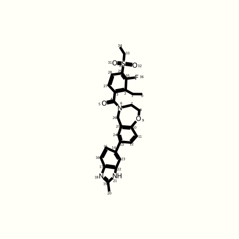 CCc1c(C(=O)N2CCOc3ccc(-c4ccc5nc(C)[nH]c5c4)cc3C2)ccc(S(=O)(=O)CC)c1F